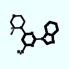 C[C@@H]1COCCN1c1cc(N)nc(-n2cnc3ccccc32)n1